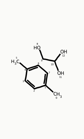 Cc1ccc(C)cc1.OCC(O)O